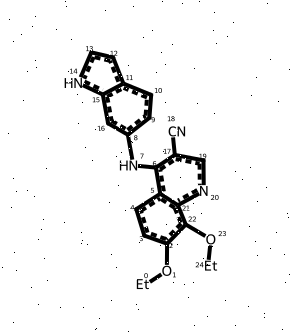 CCOc1ccc2c(Nc3ccc4cc[nH]c4c3)c(C#N)cnc2c1OCC